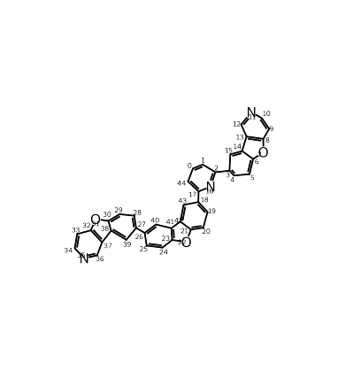 c1cc(-c2ccc3oc4ccncc4c3c2)nc(-c2ccc3oc4ccc(-c5ccc6oc7ccncc7c6c5)cc4c3c2)c1